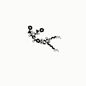 CCCCCCCC(=O)N1CCN(S(=O)(=O)c2ccc(C(=O)N3C[C@@H](C(=O)N[C@H]4C[C@@H]4c4ccccc4)[C@H](C(=O)N[C@H]4C[C@@H]4c4ccccc4)C3)cc2)C[C@@H]1C(=O)NCCCCCC